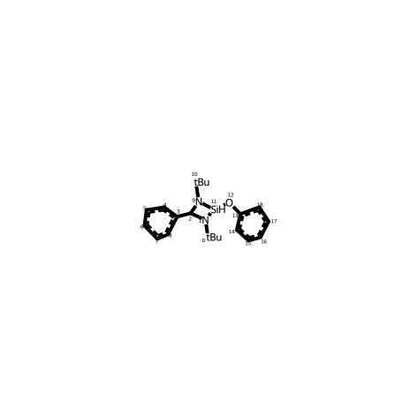 CC(C)(C)N1C(c2ccccc2)N(C(C)(C)C)[SiH]1Oc1ccccc1